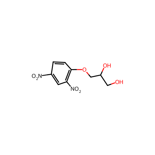 O=[N+]([O-])c1ccc(OCC(O)CO)c([N+](=O)[O-])c1